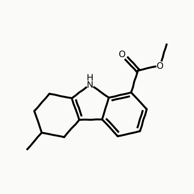 COC(=O)c1cccc2c3c([nH]c12)CCC(C)C3